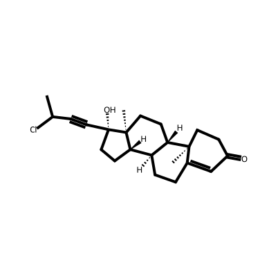 CC(Cl)C#C[C@]1(O)CC[C@H]2[C@@H]3CCC4=CC(=O)CC[C@]4(C)[C@H]3CC[C@@]21C